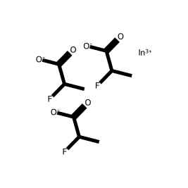 CC(F)C(=O)[O-].CC(F)C(=O)[O-].CC(F)C(=O)[O-].[In+3]